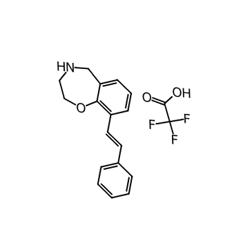 C(=Cc1cccc2c1OCCNC2)c1ccccc1.O=C(O)C(F)(F)F